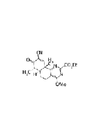 CCOC(=O)c1nc(OC)c2c(n1)[C@@]1(C)C=C(C#N)C(=O)[C@@H](C)[C@@H]1CC2